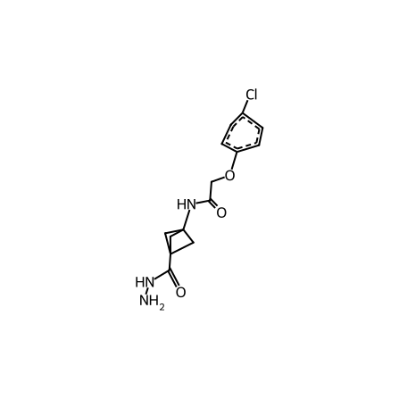 NNC(=O)C12CC(NC(=O)COc3ccc(Cl)cc3)(C1)C2